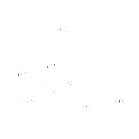 CCCCC(CC)C(=O)OOC(C)(C)C